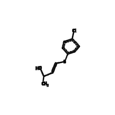 CC(O)C=CSc1ccc(Cl)cc1